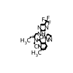 CC[C@@H](CNc1cnc(C(F)(F)F)cn1)N(CC)C(=O)c1nc(C)ccc1-n1nccn1